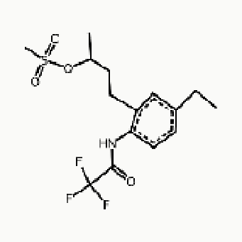 CCc1ccc(NC(=O)C(F)(F)F)c(CCC(C)OS(C)(=O)=O)c1